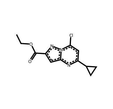 CCOC(=O)c1cc2nc(C3CC3)cc(Cl)n2n1